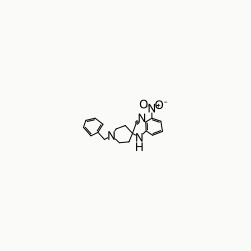 N#CC1(Nc2cccc([N+](=O)[O-])c2)CCN(Cc2ccccc2)CC1